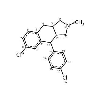 CN1CC2Cc3ccc(Cl)cc3C(c3ccc(Cl)cc3)C2C1